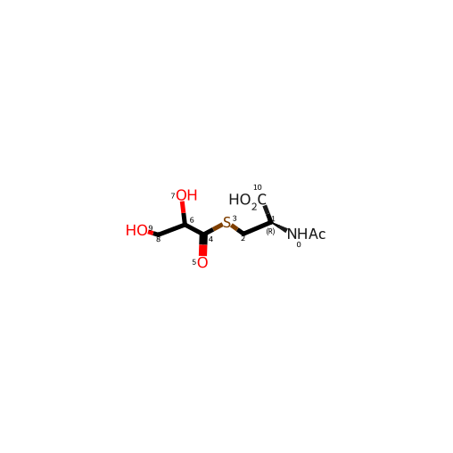 CC(=O)N[C@@H](CSC(=O)C(O)CO)C(=O)O